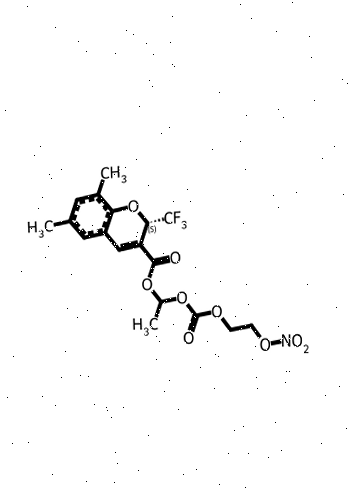 Cc1cc(C)c2c(c1)C=C(C(=O)OC(C)OC(=O)OCCO[N+](=O)[O-])[C@@H](C(F)(F)F)O2